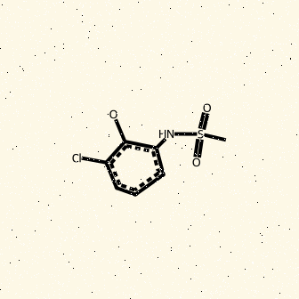 CS(=O)(=O)Nc1cccc(Cl)c1[O]